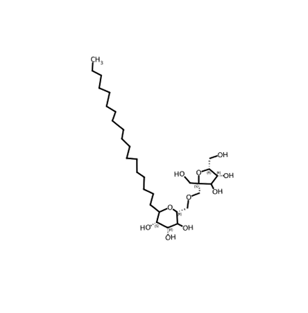 CCCCCCCCCCCCCCCCCCC1O[C@H](COC[C@]2(CO)O[C@H](CO)[C@H](O)C2O)C(O)[C@H](O)[C@@H]1O